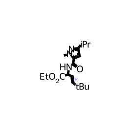 CCOC(=O)C(/C=C/C(C)(C)C)NC(=O)c1cc(C(C)C)nn1C